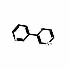 [C]1C=CNC=C1c1cccnc1